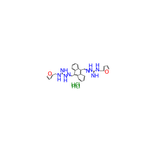 Cl.Cl.N=C(NCc1ccco1)NN=Cc1c2ccccc2c(C=NNC(=N)NCc2ccco2)c2ccccc12